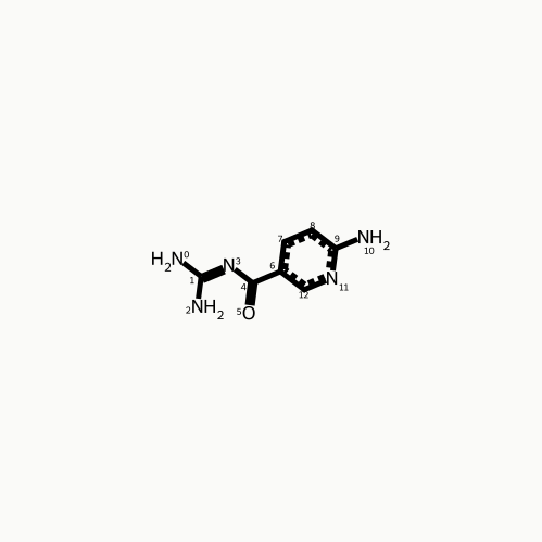 NC(N)=NC(=O)c1ccc(N)nc1